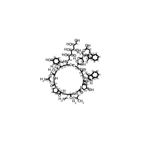 CC(C)C[C@@H]1NC(=O)[C@H](CN)NC(=O)[C@@H]2CCCN2C(=O)[C@H](CC(N)=O)NC(=O)[C@H](C)N(C)C(=O)[C@H](Cc2ccc(O)cc2)C(NC[C@@H](O)[C@H](O)[C@@H](O)[C@@H](O)[C@H](O)CO)CC[C@@H](C(=O)N[C@@H](Cc2cn(CC(=O)O)c3ccccc23)C(=O)N(C)C)NC(=O)[C@H](Cc2c[nH]c3ccccc23)NC(=O)[C@@H]2C[C@@H](O)CN2C1=O